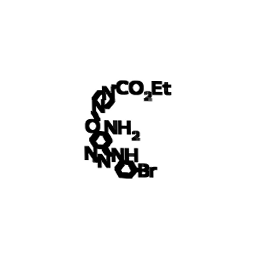 CCOC(=O)CN1CCN(CCOc2cc3ncnc(Nc4cccc(Br)c4)c3cc2N)CC1